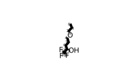 CCCOCCC[C@@H](O)C(F)(F)F